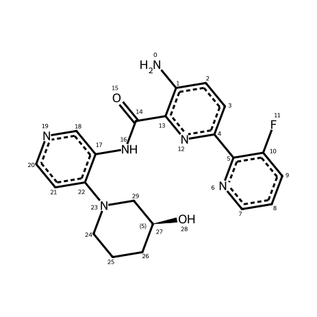 Nc1ccc(-c2ncccc2F)nc1C(=O)Nc1cnccc1N1CCC[C@H](O)C1